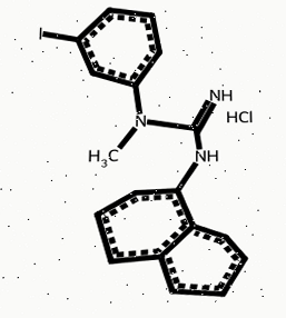 CN(C(=N)Nc1cccc2ccccc12)c1cccc(I)c1.Cl